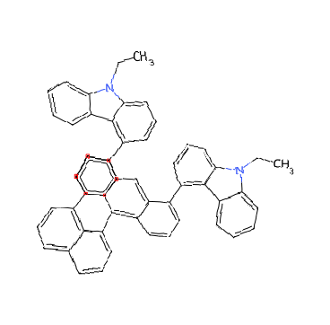 CCn1c2ccccc2c2c(-c3cccc4c(-c5cccc6cccc(-c7ccccc7)c56)c5cccc(-c6cccc7c6c6ccccc6n7CC)c5cc34)cccc21